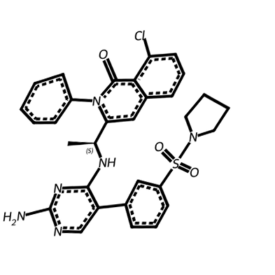 C[C@H](Nc1nc(N)ncc1-c1cccc(S(=O)(=O)N2CCCC2)c1)c1cc2cccc(Cl)c2c(=O)n1-c1ccccc1